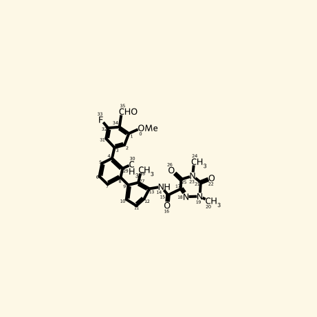 COc1cc(-c2cccc(-c3cccc(NC(=O)c4nn(C)c(=O)n(C)c4=O)c3C)c2C)cc(F)c1C=O